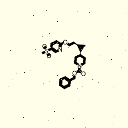 CS(=O)(=O)c1ccc(OCC[C@H]2C[C@@H]2C2CCN(C(=O)OCc3ccccc3)CC2)nc1